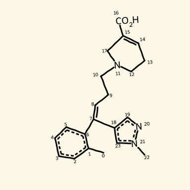 Cc1ccccc1C(=CCCN1CCC=C(C(=O)O)C1)c1cnn(C)c1